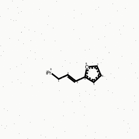 CC(C)CC=Cc1ccco1